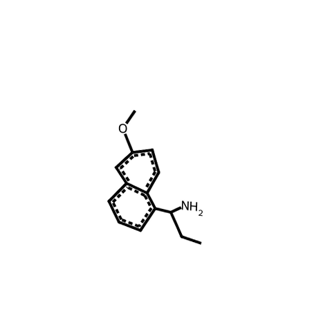 CCC(N)c1cccc2cc(OC)ccc12